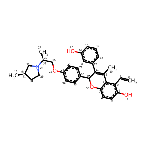 C=Cc1c(O)ccc2c1C(C)=C(c1cccc(O)c1)C(c1ccc(OC[C@H](C)N3CC[C@@H](C)C3)cc1)O2